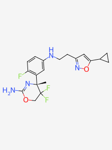 C[C@]1(c2cc(NCCc3cc(C4CC4)on3)ccc2F)N=C(N)OCC1(F)F